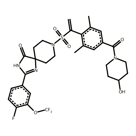 C=C(c1c(C)cc(C(=O)N2CCC(O)CC2)cc1C)S(=O)(=O)N1CCC2(CC1)N=C(c1ccc(F)c(OC(F)(F)F)c1)NC2=O